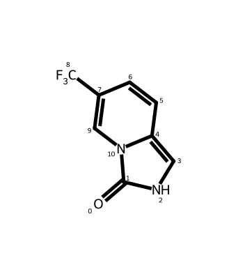 O=c1[nH]cc2ccc(C(F)(F)F)cn12